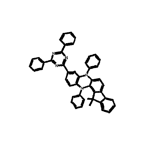 CC1(C)c2ccccc2-c2ccc3c(c21)N(c1ccccc1)c1ccc(-c2nc(-c4ccccc4)nc(-c4ccccc4)n2)cc1N3c1ccccc1